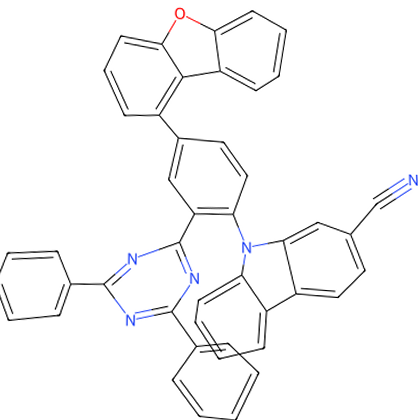 N#Cc1ccc2c3ccccc3n(-c3ccc(-c4cccc5oc6ccccc6c45)cc3-c3nc(-c4ccccc4)nc(-c4ccccc4)n3)c2c1